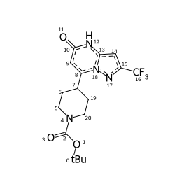 CC(C)(C)OC(=O)N1CCC(c2cc(=O)[nH]c3cc(C(F)(F)F)nn23)CC1